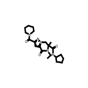 CCN1C(=O)c2cc(C(=O)N3CCCCC3)nn2CC1(C)C(=O)NC1CCCC1